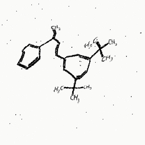 C=C(C=Cc1cc(C(C)(C)C)cc(C(C)(C)C)c1)c1ccccc1